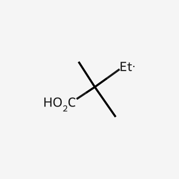 C[CH]C(C)(C)C(=O)O